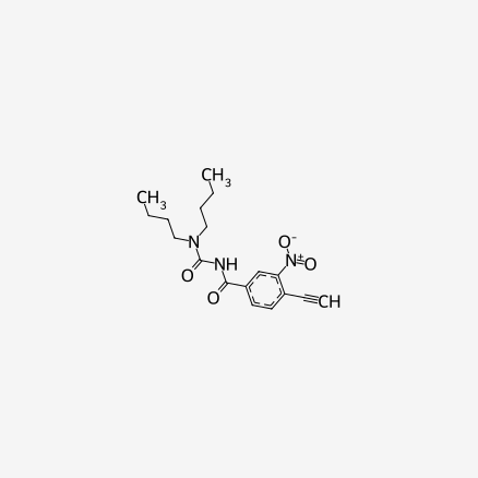 C#Cc1ccc(C(=O)NC(=O)N(CCCC)CCCC)cc1[N+](=O)[O-]